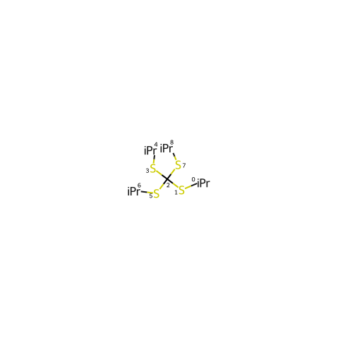 CC(C)SC(SC(C)C)(SC(C)C)SC(C)C